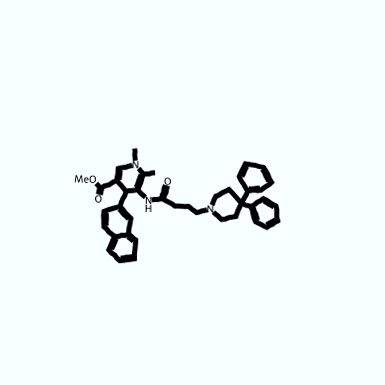 COC(=O)C1=CN(C)C(C)=C(NC(=O)CCCN2CCC(c3ccccc3)(c3ccccc3)CC2)C1c1ccc2ccccc2c1